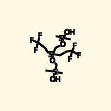 C[Si](C)(O)CO[Si](CCC(F)(F)F)(CCC(F)(F)F)CO[Si](C)(C)O